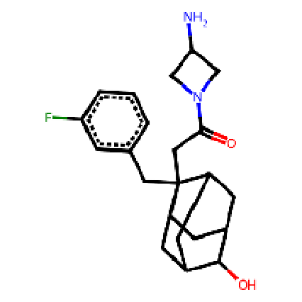 NC1CN(C(=O)CC2(Cc3cccc(F)c3)C3CC4CC2CC(C3)C4O)C1